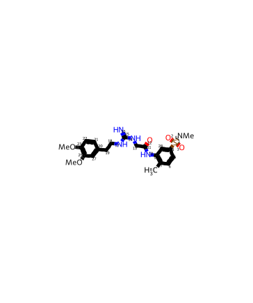 CNS(=O)(=O)c1ccc(C)c(NC(=O)CNC(=N)NCCc2ccc(OC)c(OC)c2)c1